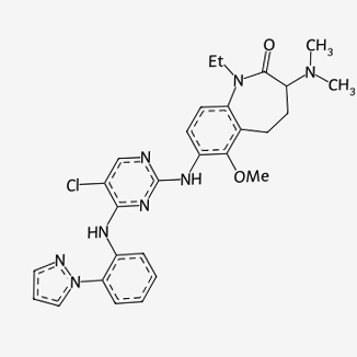 CCN1C(=O)C(N(C)C)CCc2c1ccc(Nc1ncc(Cl)c(Nc3ccccc3-n3cccn3)n1)c2OC